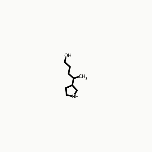 CC(CCCO)C1CCNC1